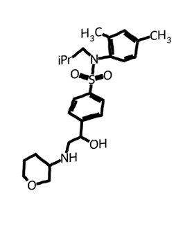 Cc1ccc(N(CC(C)C)S(=O)(=O)c2ccc(C(O)CNC3CCCOC3)cc2)c(C)c1